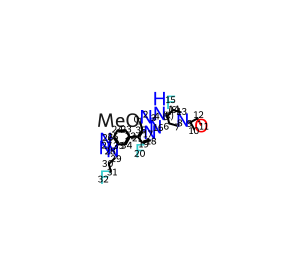 COc1nc(N[C@@H]2CCN(C3COC3)C[C@@H]2F)nn2cc(F)c(-c3ccc4nnn(CCCF)c4c3)c12